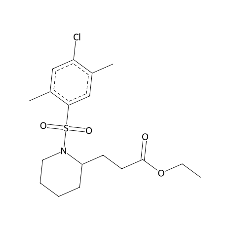 CCOC(=O)CCC1CCCCN1S(=O)(=O)c1cc(C)c(Cl)cc1C